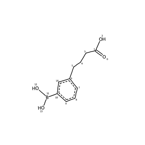 O=C(O)CCCc1cccc(B(O)O)c1